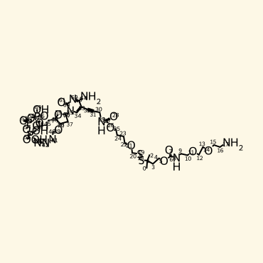 CC(C)(CCOC(=O)NCCOCCOCCN)SSCOCCCCOC(=O)NCC#Cc1cn([C@H]2C[C@@H](OCN=[N+]=[N-])[C@@H](COP(=O)(O)OP(=O)(O)OP(=O)(O)O)O2)c(=O)nc1N